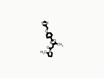 Cc1oc(-c2ccc(OCc3cscn3)cc2)nc1CC(=O)N1CCCC1C